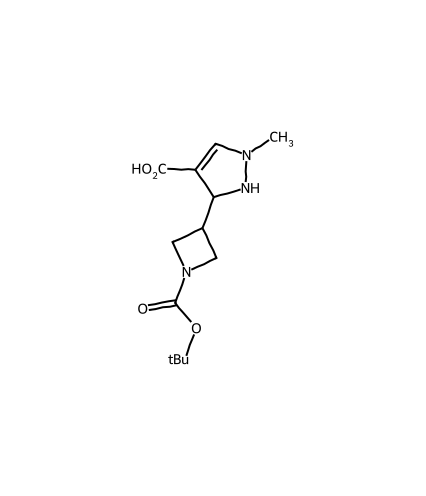 CN1C=C(C(=O)O)C(C2CN(C(=O)OC(C)(C)C)C2)N1